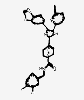 Cc1cccc(-c2[nH]c(C34CCC(C(=O)NCc5ccc(F)c(Cl)c5)(CC3)CC4)nc2-c2ccc3c(c2)OCO3)n1